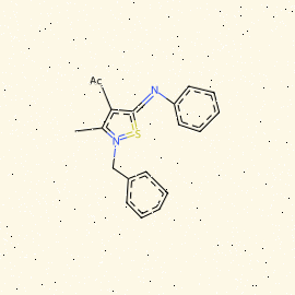 CC(=O)c1c(C)n(Cc2ccccc2)sc1=Nc1ccccc1